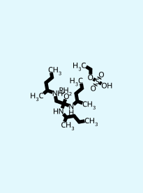 CCCC(C)NCC(NC(C)CCC)(NC(C)CCC)OP.CCOS(=O)(=O)O